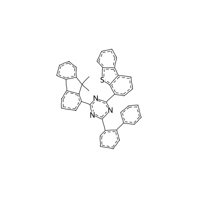 CC1(C)c2ccccc2-c2cccc(-c3nc(-c4ccccc4-c4ccccc4)nc(-c4cccc5c4sc4ccccc45)n3)c21